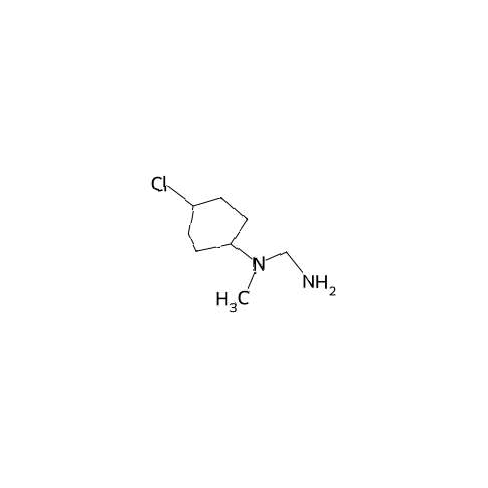 CN(CN)C1CCC(Cl)CC1